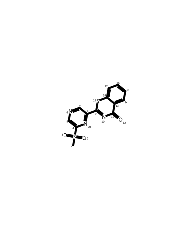 CS(=O)(=O)c1cncc(-c2nc(=O)c3ccccc3s2)n1